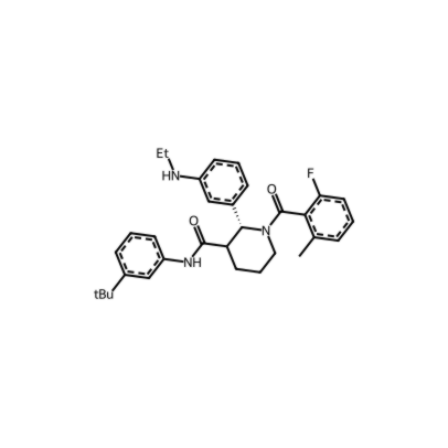 CCNc1cccc([C@H]2C(C(=O)Nc3cccc(C(C)(C)C)c3)CCCN2C(=O)c2c(C)cccc2F)c1